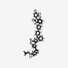 Cn1c(=O)n(C2CCC(=O)NC2=O)c2cccc(N3CCN(C4CCN(CC5(n6cc(-n7cc(-c8cnn9ccc(NCC%10CC%10)nc89)nn7)c(C(F)F)n6)CCCCC5)CC4)CC3)c21